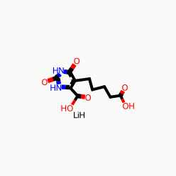 O=C(O)CCCCc1c(C(=O)O)[nH]c(=O)[nH]c1=O.[LiH]